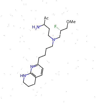 COC[C@@H](F)CN(CCCCc1ccc2c(n1)NCCC2)CCC(N)C(C)=O